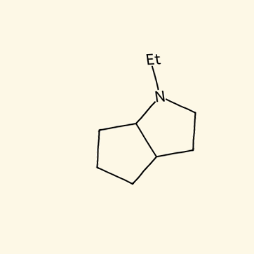 CCN1CCC2CCCC21